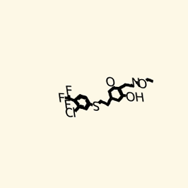 CCON=CCC1=C(O)CC(CCSc2ccc(C(F)(F)F)c(Cl)c2)CC1=O